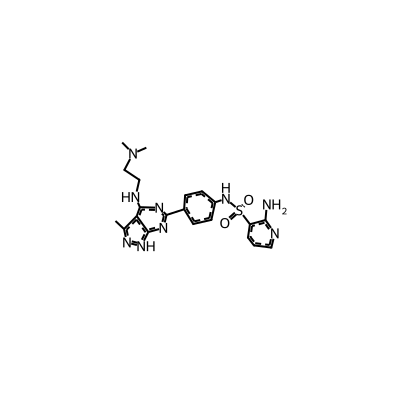 Cc1n[nH]c2nc(-c3ccc(NS(=O)(=O)c4cccnc4N)cc3)nc(NCCN(C)C)c12